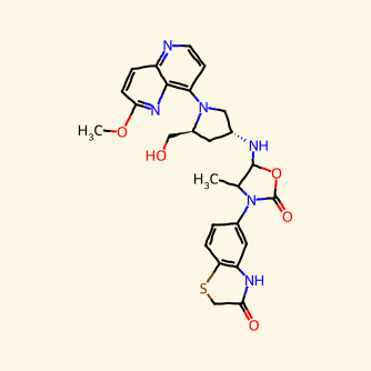 COc1ccc2nccc(N3C[C@H](NC4OC(=O)N(c5ccc6c(c5)NC(=O)CS6)C4C)C[C@H]3CO)c2n1